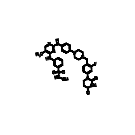 Cc1cnc(Nc2ccc(N3CCN(Cc4ccc(N5CCC(=O)NC5=O)cc4F)CC3)cc2)nc1Nc1cccc(S(=O)(=O)NC(C)(C)C)c1